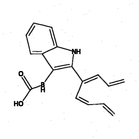 C=C/C=C\C(=C/C=C)c1[nH]c2ccccc2c1BC(=O)O